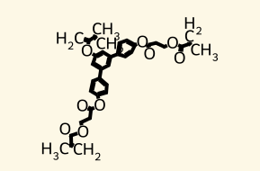 C=C(C)C(=C)Oc1cc(-c2ccc(OC(=O)CCOC(=O)C(=C)C)cc2)cc(-c2ccc(OC(=O)CCOC(=O)C(=C)C)cc2)c1